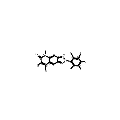 Cc1c(C)c(C)c(-n2nc3cc4c(C)c(C)c(=O)n(C)c4cc3n2)c(C)c1C